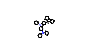 CC1(c2ccc3c(c2)c2cc(N(c4ccccc4)c4ccccc4)ccc2n3-c2ccccc2)c2ccccc2-c2ccccc21